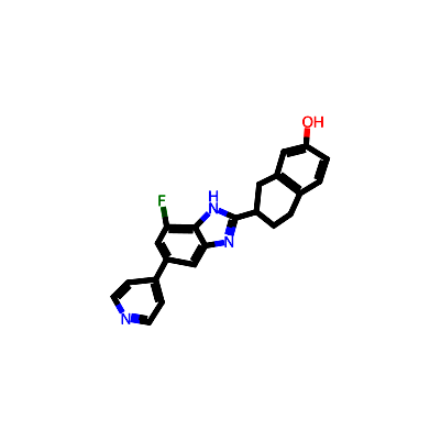 Oc1ccc2c(c1)CC(c1nc3cc(-c4ccncc4)cc(F)c3[nH]1)CC2